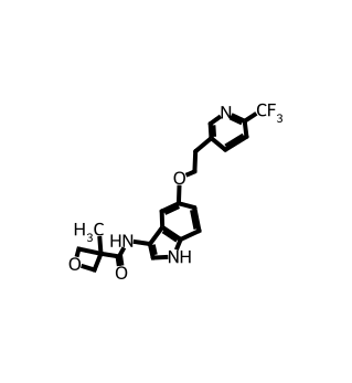 CC1(C(=O)Nc2c[nH]c3ccc(OCCc4ccc(C(F)(F)F)nc4)cc23)COC1